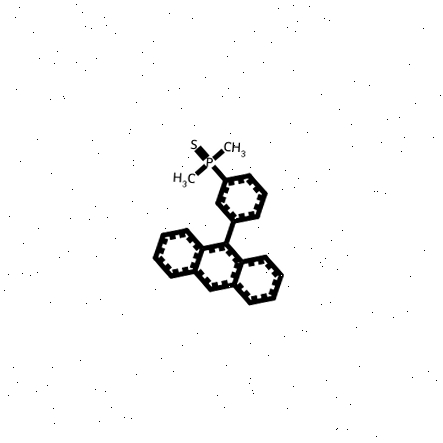 CP(C)(=S)c1cccc(-c2c3ccccc3cc3ccccc23)c1